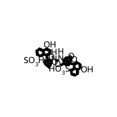 Cc1c2ccc(c1NC(=O)Nc1c3ccc(c1C)N(c1ccc(O)c4cccc(S(=O)(=O)O)c14)S3(=O)=O)S(=O)(=O)N2c1ccc(O)c2cccc(S(=O)(=O)O)c12